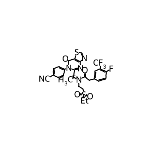 CCS(=O)(=O)CCN(C(=O)Cc1ccc(F)c(C(F)(F)F)c1)[C@H](C)c1nc2ncsc2c(=O)n1-c1ccc(C#N)cc1